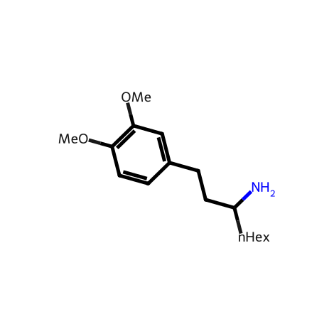 CCCCCCC(N)CCc1ccc(OC)c(OC)c1